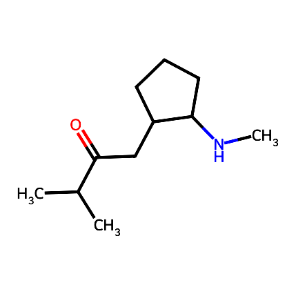 CNC1CCCC1CC(=O)C(C)C